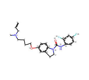 C=CCN(C)CCCCOc1ccc2c(c1)CCN2C(=O)Nc1ccc(F)cc1F